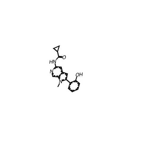 Cn1c(-c2ccccc2O)cc2cc(NC(=O)C3CC3)ncc21